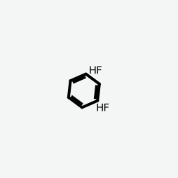 F.F.c1ccccc1